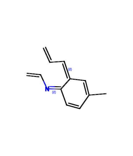 C=C/C=C1/C=C(C)C=C/C1=N/C=C